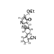 CCCCc1nc(C)n(CCOCC)c(=O)c1Cc1ccc(-c2ccccc2C#N)cc1